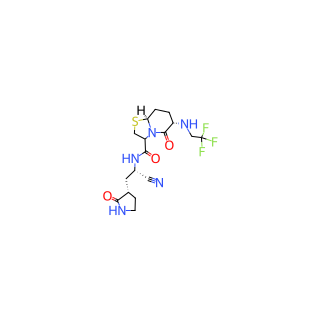 N#C[C@H](C[C@@H]1CCNC1=O)NC(=O)C1CS[C@H]2CC[C@H](NCC(F)(F)F)C(=O)N12